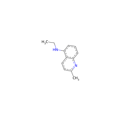 CCNc1cccc2nc(C)ccc12